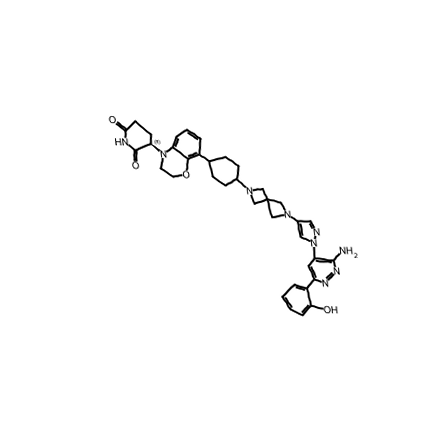 Nc1nnc(-c2ccccc2O)cc1-n1cc(N2CC3(C2)CN(C2CCC(c4cccc5c4OCCN5[C@@H]4CCC(=O)NC4=O)CC2)C3)cn1